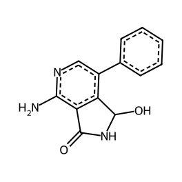 Nc1ncc(-c2ccccc2)c2c1C(=O)NC2O